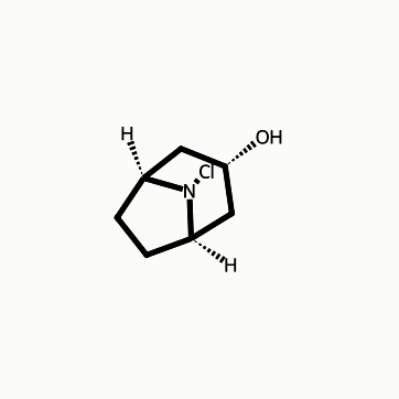 O[C@@H]1C[C@H]2CC[C@@H](C1)N2Cl